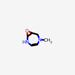 CN1C=CNC2OC2C1